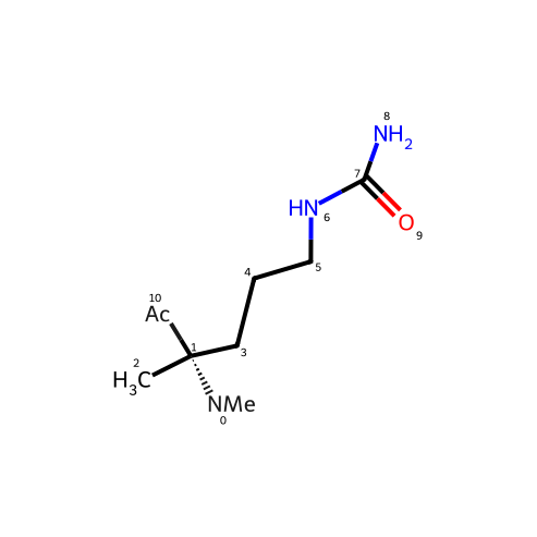 CN[C@@](C)(CCCNC(N)=O)C(C)=O